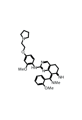 CN/C(=C1\C(=N)CCc2cnc(Nc3ccc(OCCN4CCCC4)cc3OC)nc21)c1ccccc1OC